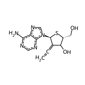 C=C=C1C(O)[C@@H](CO)S[C@@H]1n1cnc2c(N)ncnc21